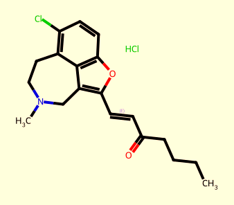 CCCCC(=O)/C=C/c1oc2ccc(Cl)c3c2c1CN(C)CC3.Cl